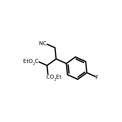 CCOC(=O)C(C(=O)OCC)C(CC#N)c1ccc(F)cc1